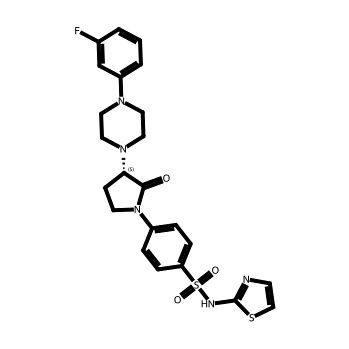 O=C1[C@@H](N2CCN(c3cccc(F)c3)CC2)CCN1c1ccc(S(=O)(=O)Nc2nccs2)cc1